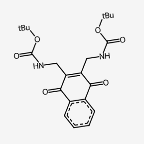 CC(C)(C)OC(=O)NCC1=C(CNC(=O)OC(C)(C)C)C(=O)c2ccccc2C1=O